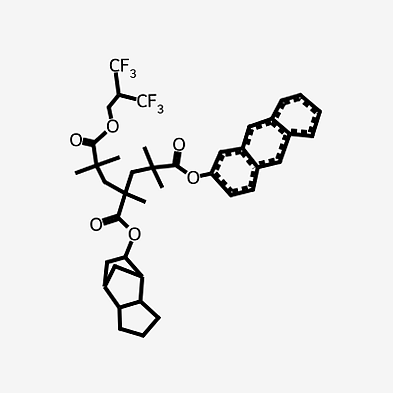 CC(C)(CC(C)(CC(C)(C)C(=O)Oc1ccc2cc3ccccc3cc2c1)C(=O)OC1CC2CC1C1CCCC21)C(=O)OCC(C(F)(F)F)C(F)(F)F